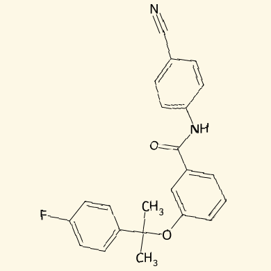 CC(C)(Oc1cccc(C(=O)Nc2ccc(C#N)cc2)c1)c1ccc(F)cc1